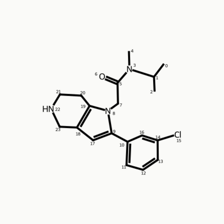 CC(C)N(C)C(=O)Cn1c(-c2cccc(Cl)c2)cc2c1CCNC2